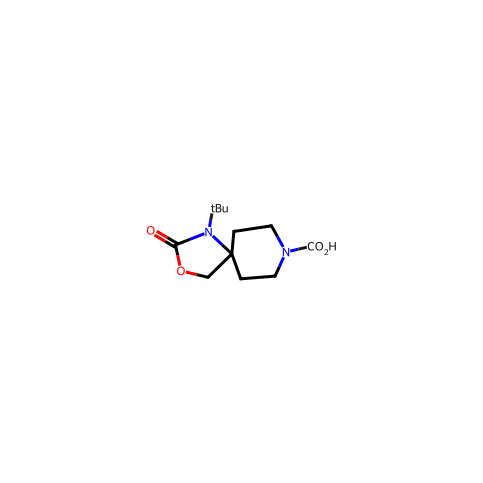 CC(C)(C)N1C(=O)OCC12CCN(C(=O)O)CC2